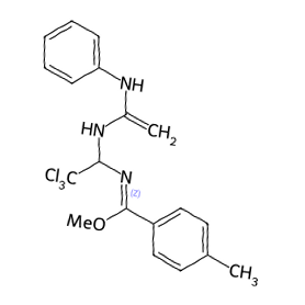 C=C(Nc1ccccc1)NC(/N=C(\OC)c1ccc(C)cc1)C(Cl)(Cl)Cl